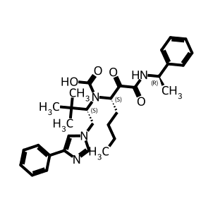 CCCC[C@@H](C(=O)C(=O)N[C@H](C)c1ccccc1)N(C(=O)O)[C@H](Cn1cnc(-c2ccccc2)c1)C(C)(C)C